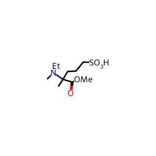 CCN(C)C(C)(CCCS(=O)(=O)O)C(=O)OC